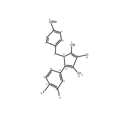 COc1ccc(Cn2c(C#N)c(Cl)c(C(F)(F)F)c2-c2ccc(F)c(F)c2)cc1